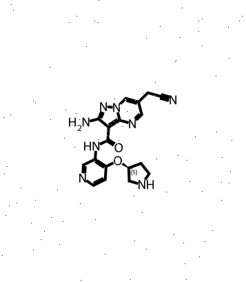 N#CCc1cnc2c(C(=O)Nc3cnccc3O[C@H]3CCNC3)c(N)nn2c1